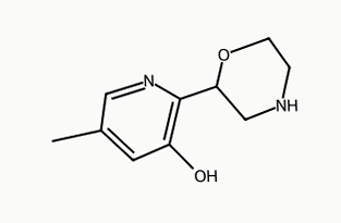 Cc1cnc(C2CNCCO2)c(O)c1